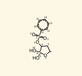 O=S(=O)(OC1CCOS1(O)O)c1ccccc1